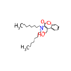 CCCCCCCCN(CCCCCCCC)c1c(CO)c2ccccc2oc1=O